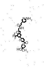 CC1(O)CCN(C(=O)c2ccc(-c3cc(C(F)(F)F)c4oc(CNC(=O)/C=C/c5ccc(N)nc5)cc4c3)nc2)CC1